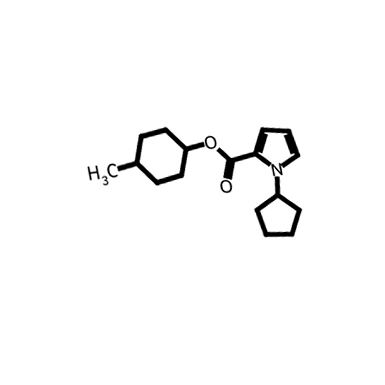 CC1CCC(OC(=O)c2cccn2C2CCCC2)CC1